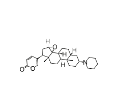 C[C@]12CC[C@H](N3CCCCC3)C[C@H]1CC[C@@H]1[C@@H]2CC[C@]2(C)[C@@H](c3ccc(=O)oc3)C[C@H]3O[C@]132